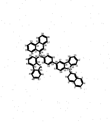 C1=c2ccccc2=CC(n2c3ccccc3c3cc(-c4ccc(N(c5cc6ccccc6c6ccccc56)c5cccc6c5sc5ccccc56)cc4)ccc32)C1